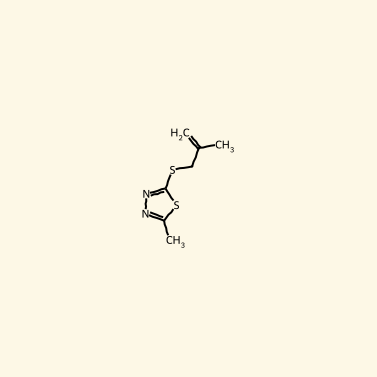 C=C(C)CSc1nnc(C)s1